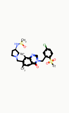 CCS(=O)(=O)c1ccc(Cl)cc1Cn1cnc2c(C#N)c(CN3CC[C@@H](N[S+](C)[O-])C3)c(C(F)(F)F)cc2c1=O